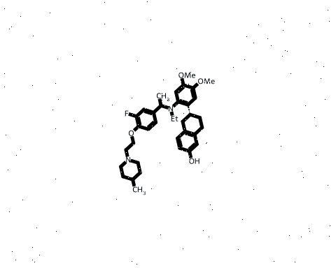 CCN(c1cc(OC)c(OC)cc1[C@@H]1CCc2cc(O)ccc2C1)C(C)c1ccc(OCCN2CCC(C)CC2)c(F)c1